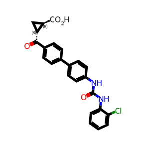 O=C(Nc1ccc(-c2ccc(C(=O)[C@@H]3C[C@H]3C(=O)O)cc2)cc1)Nc1ccccc1Cl